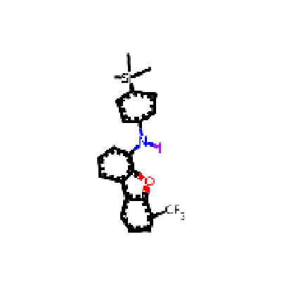 C[Si](C)(C)c1ccc(N(I)c2cccc3c2oc2c(C(F)(F)F)cccc23)cc1